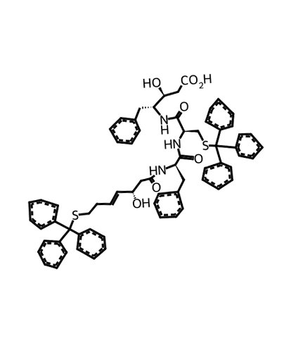 O=C(O)C[C@H](O)[C@@H](Cc1ccccc1)NC(=O)[C@@H](CSC(c1ccccc1)(c1ccccc1)c1ccccc1)NC(=O)[C@@H](Cc1ccccc1)NC(=O)C[C@H](O)/C=C/CCSC(c1ccccc1)(c1ccccc1)c1ccccc1